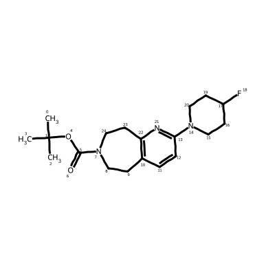 CC(C)(C)OC(=O)N1CCc2ccc(N3CCC(F)CC3)nc2CC1